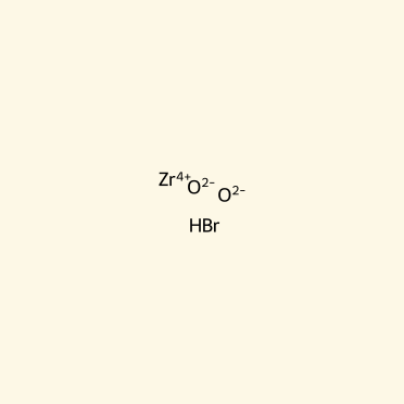 Br.[O-2].[O-2].[Zr+4]